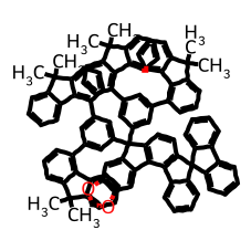 CC1(C)c2ccccc2-c2c(-c3cc(-c4cccc5c4-c4ccccc4C5(C)C)cc(C4(c5cc(-c6cccc7c6-c6ccccc6C7(C)C)cc(-c6cccc7c6-c6ccccc6C7(C)C)c5)c5cc6c(cc5-c5c4ccc4c5-c5ccccc5C45c4ccccc4-c4ccccc45)OCO6)c3)cccc21